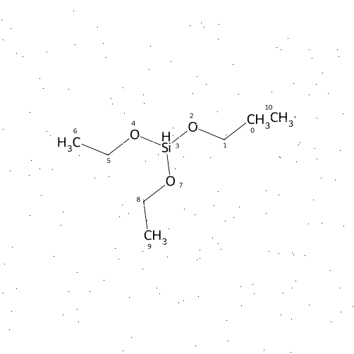 CCO[SiH](OCC)OCC.[CH3]